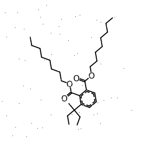 CCCCCCCCOC(=O)c1cccc(C(C)(CC)CC)c1C(=O)OCCCCCCCC